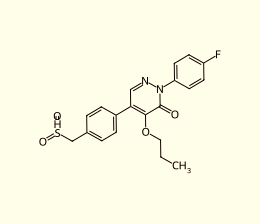 CCCOc1c(-c2ccc(C[SH](=O)=O)cc2)cnn(-c2ccc(F)cc2)c1=O